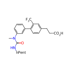 CCCCCNC(=O)N(C)c1cccc(-c2ccc(CCC(=O)O)cc2C(F)(F)F)c1